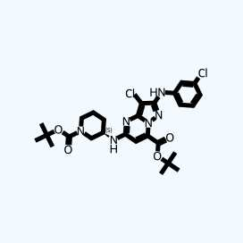 CC(C)(C)OC(=O)c1cc(N[C@H]2CCCN(C(=O)OC(C)(C)C)C2)nc2c(Cl)c(Nc3cccc(Cl)c3)nn12